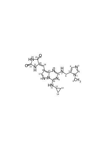 Cn1cncc1CNc1nc(NC2CC2)n2ncc(/C=C3\NC(=O)NC3=O)c2n1